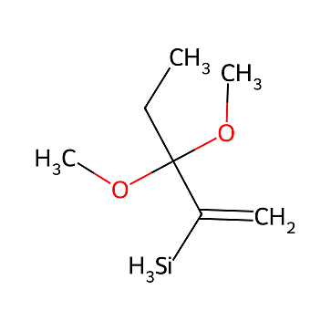 C=C([SiH3])C(CC)(OC)OC